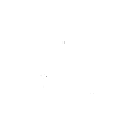 COc1ccc(-c2cccc(CO)c2)c(CN)c1.Cl